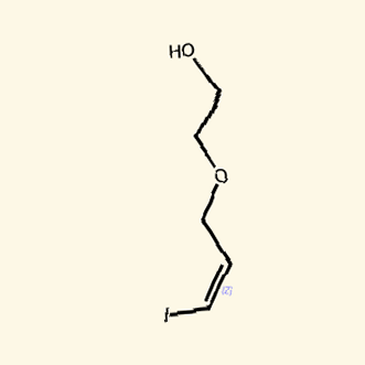 OCCOC/C=C\I